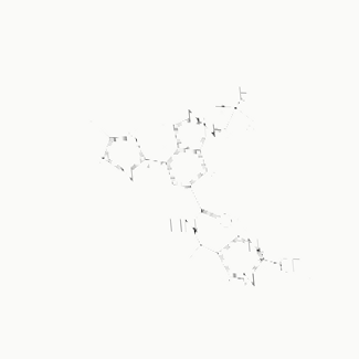 Cc1cnc(-c2cc(C(=O)NC(C)c3cnc(C(F)(F)F)nc3)cc3c2cnn3CC(C)(C)F)s1